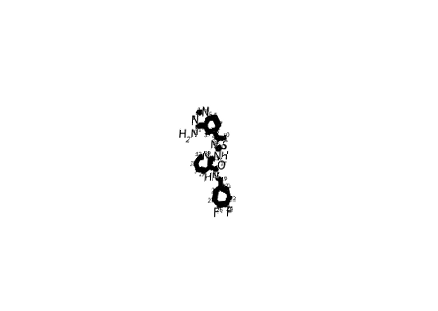 Nc1ncnc2ccc(-c3csc(NC4=C(C(=O)NCC5=CCC(F)=C(F)C=C5)C=CCC=N4)n3)cc12